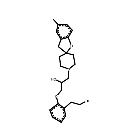 OCCc1ccccc1OCC(O)CN1CCC2(CC1)Cc1cc(Cl)ccc1O2